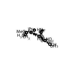 COc1cc(CN2CCN(C3CC4(C3)CN(c3ccc(C(=O)NS(=O)(=O)c5ccc(NCC6CCC(C)(O)CC6)c([N+](=O)[O-])c5)c(Oc5cnc6[nH]cc(F)c6c5)c3)C4)[C@H](c3ccccc3C(C)C)C2)cc2c1OC(C)(C)C=C2